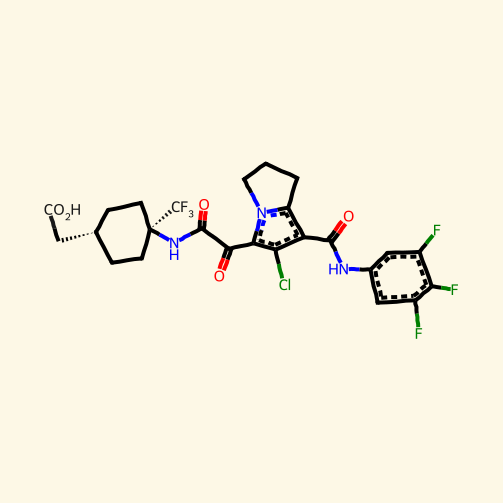 O=C(O)C[C@H]1CC[C@@](NC(=O)C(=O)c2c(Cl)c(C(=O)Nc3cc(F)c(F)c(F)c3)c3n2CCC3)(C(F)(F)F)CC1